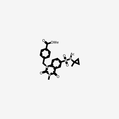 COC(=O)c1ccc(Cn2c(=O)n(C)c(=O)c3cc(S(=O)(=O)N(C(C)=O)C4(C)CC4)ccc32)cc1